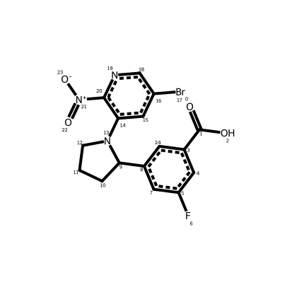 O=C(O)c1cc(F)cc(C2CCCN2c2cc(Br)cnc2[N+](=O)[O-])c1